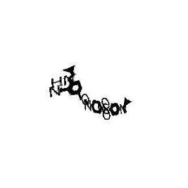 CN(c1ccc(S(=O)(=O)N2CCC(=NOCc3ccc(NCC4CC4)c(C#N)c3)CC2)cc1)C1CC1